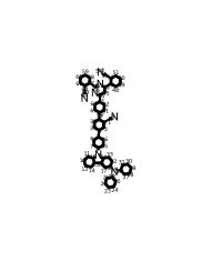 N#Cc1cc(-c2ccc(-n3c4ccccc4c4cc(N(c5ccccc5)c5ccccc5)ccc43)cc2)ccc1-c1ccc(-c2cc(-c3ccccc3C#N)nc(-c3ccccc3C#N)n2)cc1